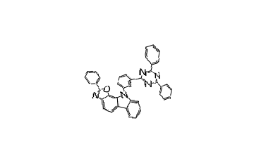 c1ccc(-c2nc(-c3ccccc3)nc(-c3cccc(-n4c5ccccc5c5ccc6nc(-c7ccccc7)oc6c54)c3)n2)cc1